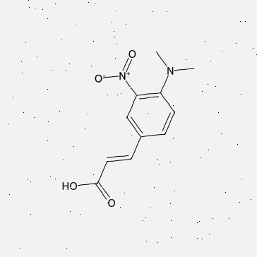 CN(C)c1ccc(/C=C/C(=O)O)cc1[N+](=O)[O-]